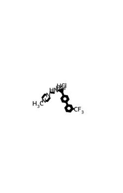 CN1CCN(CCNC2CC2c2ccc(-c3cccc(C(F)(F)F)c3)cc2)CC1.Cl.Cl